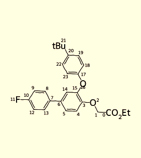 CCOC(=O)COc1ccc(-c2ccc(F)cc2)cc1Oc1ccc(C(C)(C)C)cc1